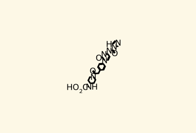 O=C(O)NC1CCN(C(=O)Cc2ccc(-n3ccc(NC(=O)n4ccnc4)nc3=O)cc2)CC1